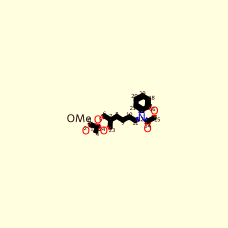 COC(=O)C1(C)OCC(CCCCN2C(=O)COc3ccccc32)CO1